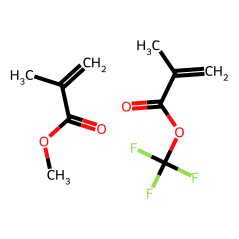 C=C(C)C(=O)OC.C=C(C)C(=O)OC(F)(F)F